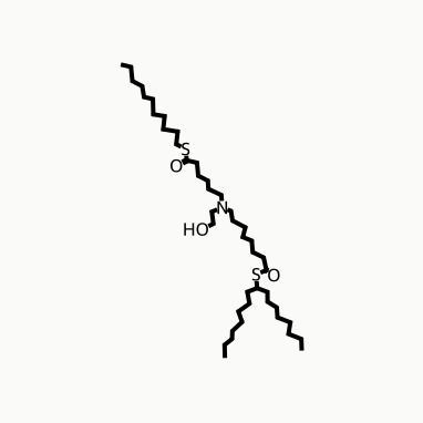 CCCCCCCCCCCSC(=O)CCCCCN(CCO)CCCCCCCC(=O)SC(CCCCCCCC)CCCCCCCC